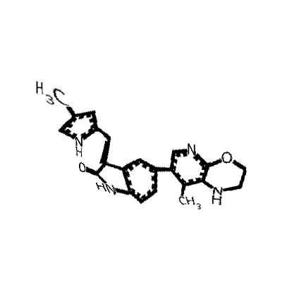 Cc1c[nH]c(C=C2C(=O)Nc3ccc(-c4cnc5c(c4C)NCCO5)cc32)c1